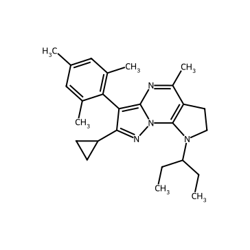 CCC(CC)N1CCc2c(C)nc3c(-c4c(C)cc(C)cc4C)c(C4CC4)nn3c21